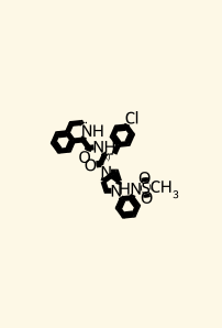 CS(=O)(=O)Nc1ccccc1N1CC2CC1CN2C(=O)[C@@H](Cc1ccc(Cl)cc1)NC(=O)C1N[CH]Cc2ccccc21